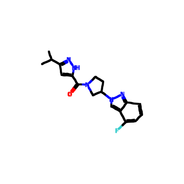 CC(C)c1cc(C(=O)N2CCC(n3cc4c(F)cccc4n3)C2)[nH]n1